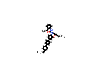 CCCC1CN(C(=O)Nc2ccccc2CC)c2ccc(-c3ccc(C4CCC(CC)CC4)cc3)cc2O1